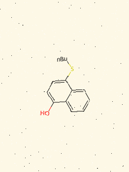 CCCCSc1ccc(O)c2ccccc12